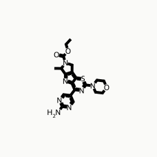 CCOC(=O)N1Cc2c(nc3c(-c4cnc(N)nc4)nc(N4CCOCC4)sc2-3)C1C